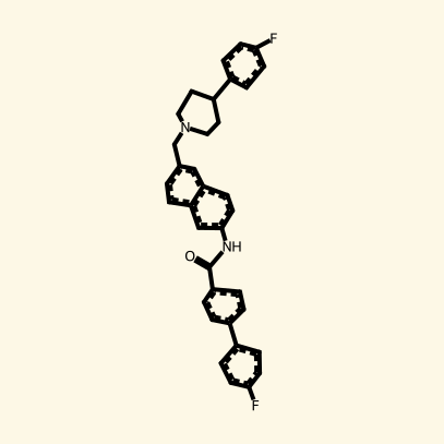 O=C(Nc1ccc2cc(CN3CCC(c4ccc(F)cc4)CC3)ccc2c1)c1ccc(-c2ccc(F)cc2)cc1